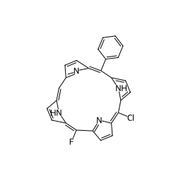 Fc1c2nc(c(Cl)c3ccc([nH]3)c(-c3ccccc3)c3nc(cc4ccc1[nH]4)C=C3)C=C2